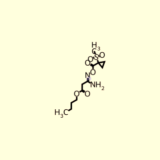 CCCCOC(=O)C/C(N)=N/OC(=O)C1(S(C)(=O)=O)CC1